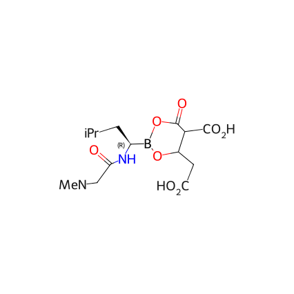 CNCC(=O)N[C@@H](CC(C)C)B1OC(=O)C(C(=O)O)C(CC(=O)O)O1